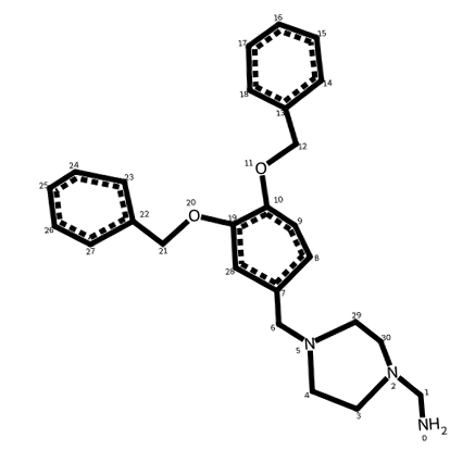 NCN1CCN(Cc2ccc(OCc3ccccc3)c(OCc3ccccc3)c2)CC1